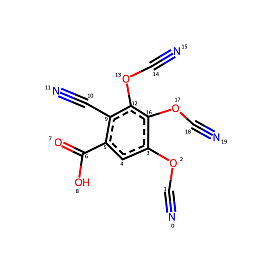 N#COc1cc(C(=O)O)c(C#N)c(OC#N)c1OC#N